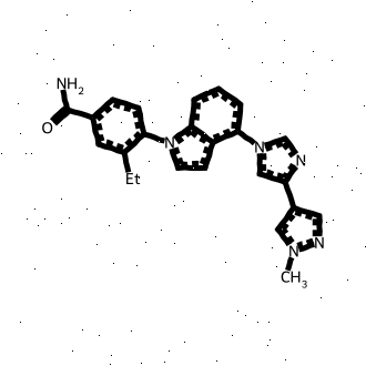 CCc1cc(C(N)=O)ccc1-n1ccc2c(-n3cnc(-c4cnn(C)c4)c3)cccc21